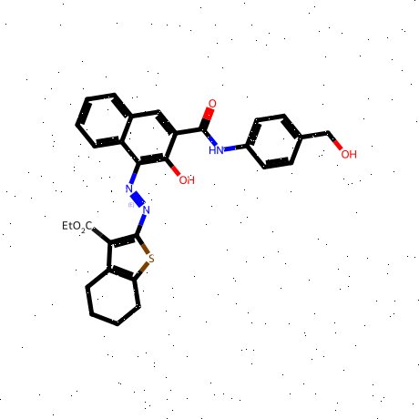 CCOC(=O)c1c(/N=N/c2c(O)c(C(=O)Nc3ccc(CO)cc3)cc3ccccc23)sc2c1CCCC2